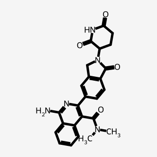 CN(C)C(=O)c1c(-c2ccc3c(c2)CN(C2CCC(=O)NC2=O)C3=O)nc(N)c2ccccc12